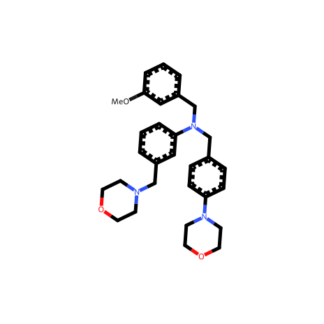 COc1cccc(CN(Cc2ccc(N3CCOCC3)cc2)c2cccc(CN3CCOCC3)c2)c1